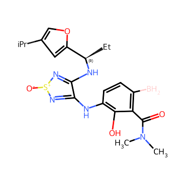 Bc1ccc(Nc2n[s+]([O-])nc2N[C@H](CC)c2cc(C(C)C)co2)c(O)c1C(=O)N(C)C